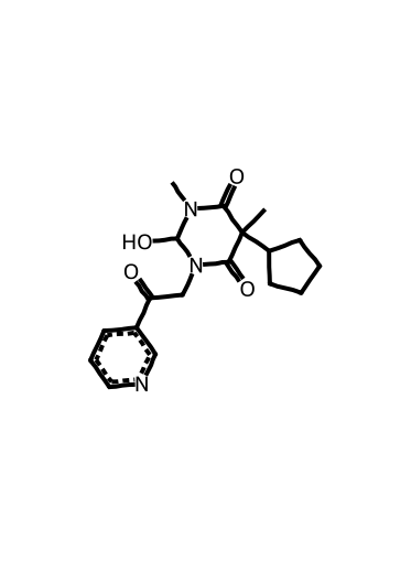 CN1C(=O)C(C)(C2CCCC2)C(=O)N(CC(=O)c2cccnc2)C1O